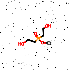 CCOP(=O)(CCO)CCO